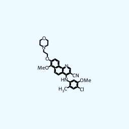 COc1cc(Nc2c(C#N)cnc3c2ccc2c(OC)c(OCCN4CCOCC4)ccc23)c(C)cc1Cl